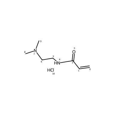 C=CC(=O)NCCN(C)C.Cl